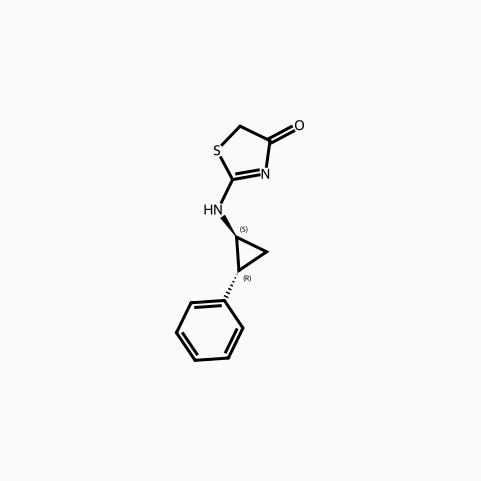 O=C1CSC(N[C@H]2C[C@@H]2c2ccccc2)=N1